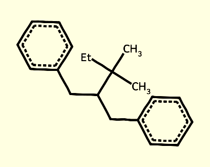 CCC(C)(C)C(Cc1ccccc1)Cc1ccccc1